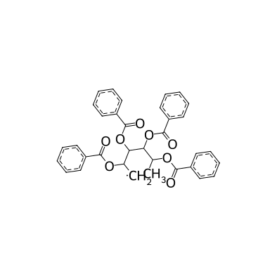 [CH2]C(OC(=O)c1ccccc1)C(OC(=O)c1ccccc1)C(OC(=O)c1ccccc1)C(C)OC(=O)c1ccccc1